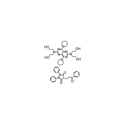 O=C1C(CC[S+]([O-])c2ccccc2)C(=O)N(c2ccccc2)N1c1ccccc1.OCCN(CCO)c1nc(N2CCCCC2)c2nc(N(CCO)CCO)nc(N3CCCCC3)c2n1